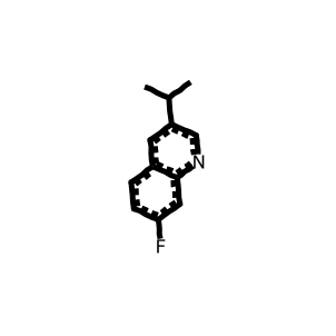 CC(C)c1cnc2cc(F)ccc2c1